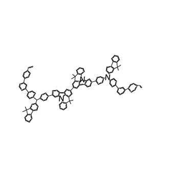 C=Cc1ccc(-c2cccc(-c3ccc(C(c4ccc(-c5ccc6c7cc(-c8cc9c%10c(c8)c8ccc(-c%11ccc(N(c%12ccc(-c%13cccc(-c%14ccc(C=C)cc%14)c%13)cc%12)c%12ccc%13c(c%12)C(C)(C)c%12ccccc%12-%13)cc%11)cc8n%10-c8ccccc8C9(C)C)cc8c7n(c6c5)-c5ccccc5C8(C)C)cc4)c4ccc5c(c4)C(C)(C)c4ccccc4-5)cc3)c2)cc1